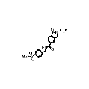 CC[C@H]1c2ccc(C(=O)NCc3ccc(S(=O)(=O)NC)cc3)cc2CN1C(=O)O